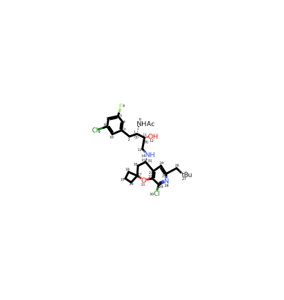 CC(=O)N[C@@H](Cc1cc(F)cc(Cl)c1)[C@H](O)CN[C@H]1CC2(CCC2)Oc2c1cc(CC(C)(C)C)nc2Cl